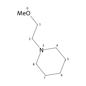 COCCN1C[CH]CCC1